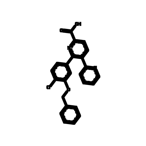 O=C(O)c1ccc(-c2ccccn2)c(-c2ccc(Cl)c(OCc3ccccc3)c2)n1